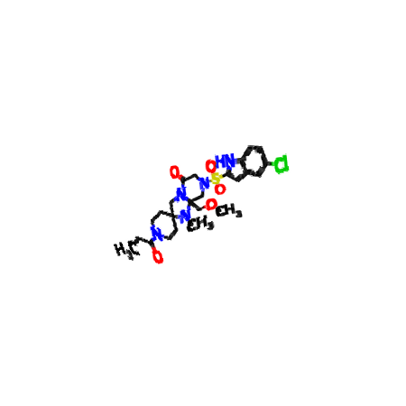 CCC(=O)N1CCC2(CC1)CN1C(=O)CN(S(=O)(=O)c3cc4cc(Cl)ccc4[nH]3)CC1(COC)N2C